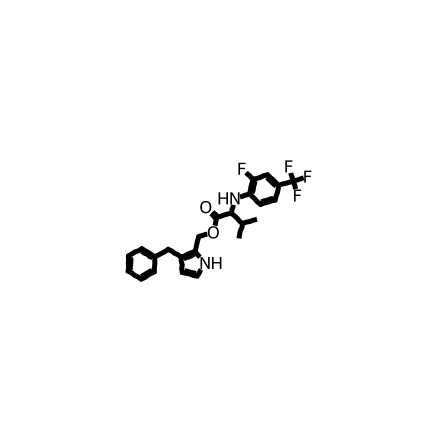 CC(C)C(Nc1ccc(C(F)(F)F)cc1F)C(=O)OCc1[nH]ccc1Cc1ccccc1